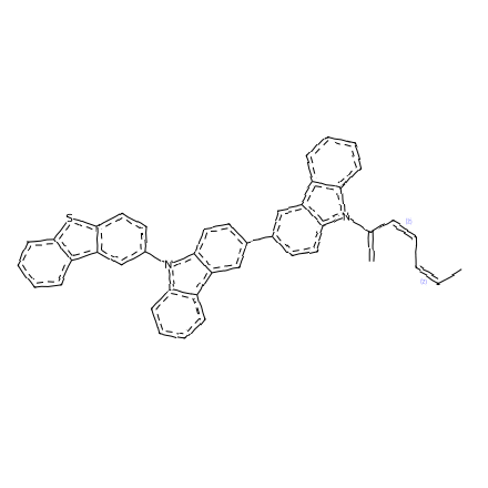 C=C(/C=C\C=C/C)n1c2ccccc2c2cc(-c3ccc4c(c3)c3ccccc3n4-c3ccc4sc5ccccc5c4c3)ccc21